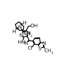 Cc1nc2ccc(-c3n[nH]c4nc(N5[C@@H]6CC[C@H]5C[C@@H](N)C6)c(CO)nc34)c(Cl)c2s1